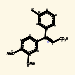 COc1ccc(/C(=C/C(=O)O)c2cccc(C)c2)cc1OC